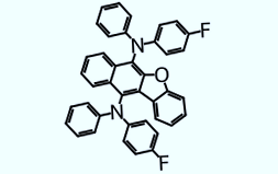 Fc1ccc(N(c2ccccc2)c2c3ccccc3c(N(c3ccccc3)c3ccc(F)cc3)c3c2oc2ccccc23)cc1